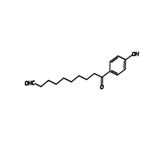 O=CCCCCCCCCC(=O)c1ccc(O)cc1